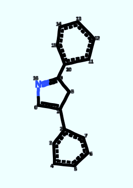 C1=C(c2ccccc2)CC(c2ccccc2)=N1